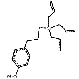 C=CC[Si](CC=C)(CC=C)CCCc1ccc(OC)cc1